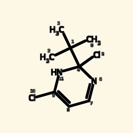 CC(C)(C)C1(Cl)N=CC=C(Cl)N1